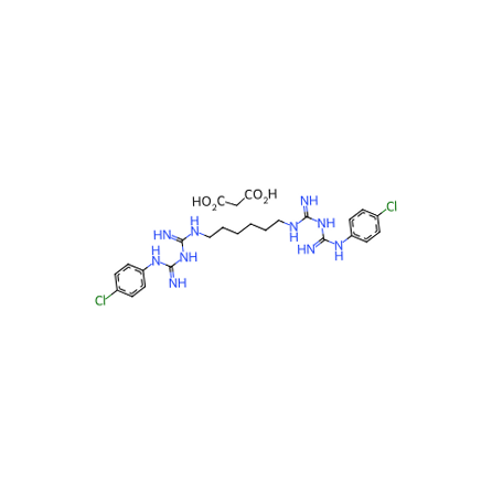 N=C(NCCCCCCNC(=N)NC(=N)Nc1ccc(Cl)cc1)NC(=N)Nc1ccc(Cl)cc1.O=C(O)CC(=O)O